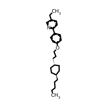 CCCCC[C@H]1CC[C@H](CCCOc2ccc(-c3ccc(CC)cn3)cc2)CC1